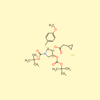 COc1ccc(C[C@@H]2[C@H](OC(=O)CC3CC3)[C@@H](OC(=O)OC(C)(C)C)CN2C(=O)OC(C)(C)C)cc1.F